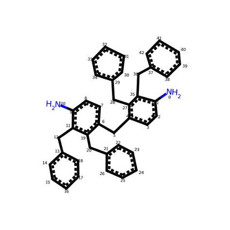 Nc1ccc(Cc2ccc(N)c(Cc3ccccc3)c2Cc2ccccc2)c(Cc2ccccc2)c1Cc1ccccc1